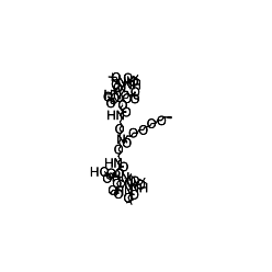 C#CCOCCOCCOCCOCCC(=O)N(CCOCCCNC(=O)CO[C@@H]([C@@H]1OC(C(=O)OC)=C[C@H](N=C(NC(=O)OC(C)(C)C)NC(=O)OC(C)(C)C)[C@H]1NC(C)=O)[C@H]1COC(O)O1)CCOCCCNC(=O)CO[C@@H]([C@@H]1OC(C(=O)OC)=C[C@H](N=C(NC(=O)OC(C)(C)C)NC(=O)OC(C)(C)C)C1NC(C)=O)[C@H]1COC(=O)O1